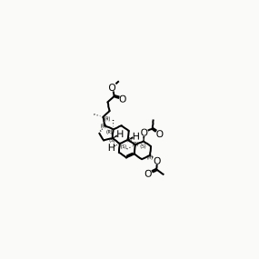 COC(=O)CC[C@@H](C)[C@H]1CC[C@H]2[C@@H]3CC=C4C[C@@H](OC(C)=O)C[C@H](OC(C)=O)[C@]4(C)[C@H]3CC[C@]12C